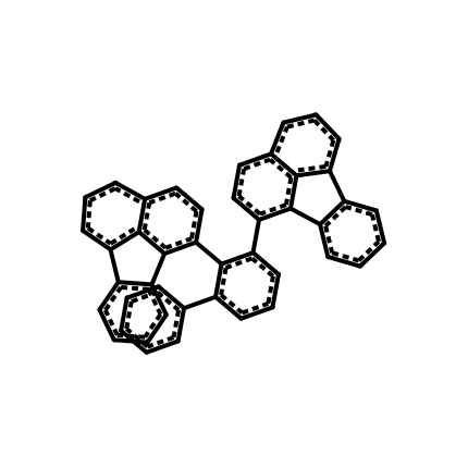 c1ccc(-c2cccc(-c3ccc4cccc5c4c3-c3ccccc3-5)c2-c2ccc3cccc4c3c2-c2ccccc2-4)cc1